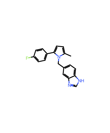 Cc1ccc(-c2ccc(F)cc2)n1Cc1ccc2[nH]cnc2c1